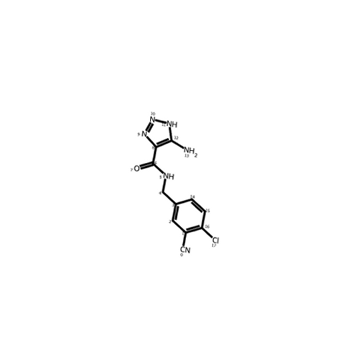 N#Cc1cc(CNC(=O)c2nn[nH]c2N)ccc1Cl